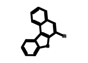 CCc1cc2ccccc2c2c1oc1ccccc12